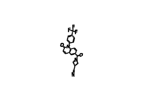 N#CC1CN(C(=O)c2ccc3c(ccc(=O)n3-c3ccc(C(F)(F)F)cc3)c2)C1